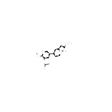 COc1ncc(-c2ccn3nc(N)cc3c2)cc1OC(F)F